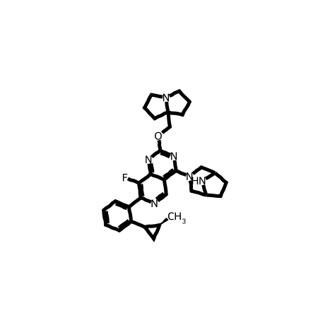 C[C@H]1CC1c1ccccc1-c1ncc2c(N3CC4CCC(C3)N4)nc(OCC34CCCN3CCC4)nc2c1F